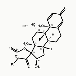 C[C@@H]1C[C@H]2[C@@H]3CCC4=CC(=O)C=C[C@]4(C)[C@@]3(F)[C@@H](O)C[C@]2(C)[C@@]1(O[PH](=O)[O-])C(=O)CO.[Na+]